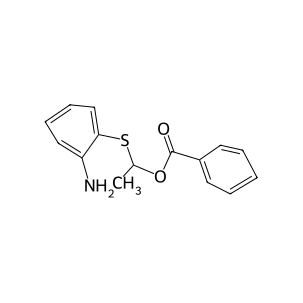 CC(OC(=O)c1ccccc1)Sc1ccccc1N